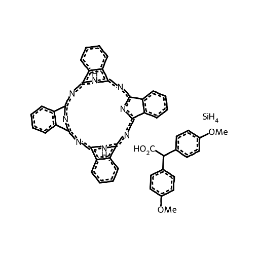 COc1ccc(C(C(=O)O)c2ccc(OC)cc2)cc1.[SiH4].c1ccc2c(c1)-c1nc-2nc2[nH]c(nc3nc(nc4[nH]c(n1)c1ccccc41)-c1ccccc1-3)c1ccccc21